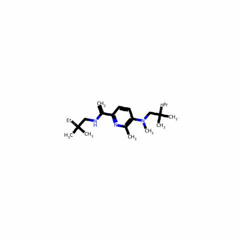 C=C(NCC(C)(C)CC)c1ccc(N(C)CC(C)(C)CCC)c(C)n1